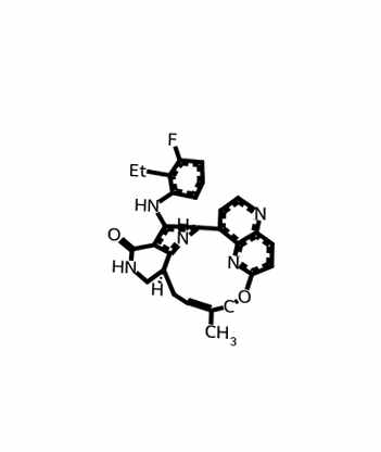 CCc1c(F)cccc1Nc1c2[nH]c3c1C(=O)NC[C@@H]3C/C=C(/C)COc1ccc3nccc-2c3n1